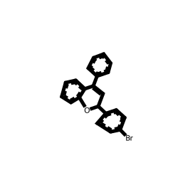 Brc1ccc(C2C=C(c3ccccc3)c3ccccc3O2)cc1